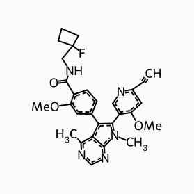 C#Cc1cc(OC)c(-c2c(-c3ccc(C(=O)NCC4(F)CCC4)c(OC)c3)c3c(C)ncnc3n2C)cn1